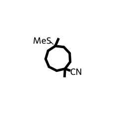 CS[C@@]1(C)CCCCC(C)(C#N)CCC1